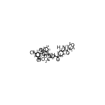 NC(C(=O)N1CCOCC1)C1CCN(C(=O)CC[C@H](NC(=O)[C@@H]2CCCN2S(=O)(=O)c2cc(Cl)cc(Cl)c2)C(=O)O)CC1